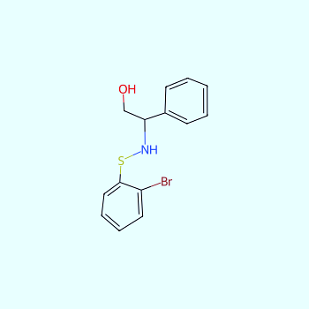 OCC(NSc1ccccc1Br)c1ccccc1